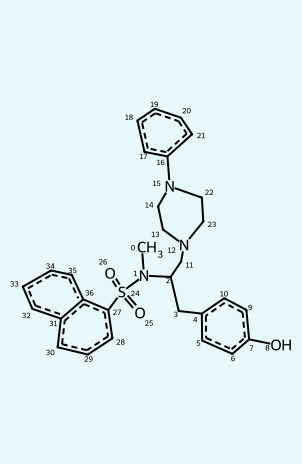 CN(C(Cc1ccc(O)cc1)CN1CCN(c2ccccc2)CC1)S(=O)(=O)c1cccc2ccccc12